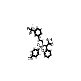 NC(=O)C(c1ccccc1)N(CCc1cccc(C(F)(F)F)c1)S(=O)(=O)c1ccc(Cl)cc1